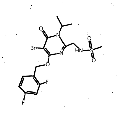 CC(C)n1c(CNS(C)(=O)=O)nc(OCc2ccc(F)cc2F)c(Br)c1=O